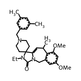 CCN1C(=O)N2Cc3cc(OC)cc(OC)c3C(C)C=C2C12CCN(Cc1cc(C)cc(C)c1)CC2